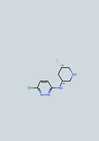 F[C@@H]1CNC[C@@H](Nc2ccc(Cl)nn2)C1